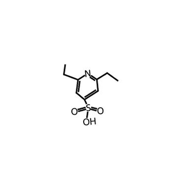 CCc1cc(S(=O)(=O)O)cc(CC)n1